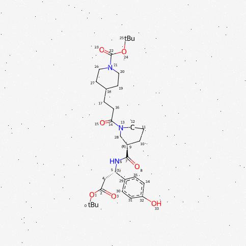 CC(C)(C)OC(=O)C[C@H](NC(=O)[C@@H]1CCCN(C(=O)CCC2CCN(C(=O)OC(C)(C)C)CC2)C1)c1ccc(O)cc1